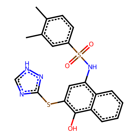 Cc1ccc(S(=O)(=O)Nc2cc(Sc3nc[nH]n3)c(O)c3ccccc23)cc1C